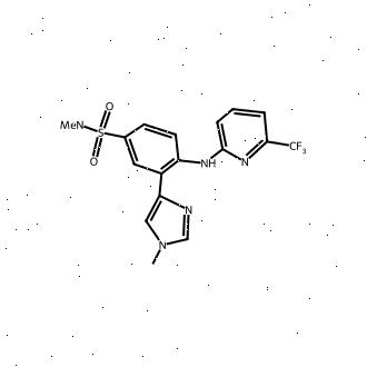 CNS(=O)(=O)c1ccc(Nc2cccc(C(F)(F)F)n2)c(-c2cn(C)cn2)c1